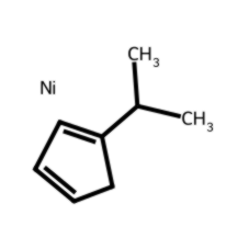 CC(C)C1=CC=CC1.[Ni]